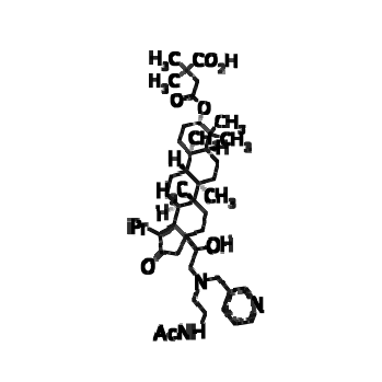 CC(=O)NCCN(Cc1cccnc1)CC(O)C12CC[C@]3(C)[C@H](CC[C@@H]4[C@@]5(C)CC[C@H](OC(=O)CC(C)(C)C(=O)O)C(C)(C)[C@@H]5CC[C@]43C)C1=C(C(C)C)C(=O)C2